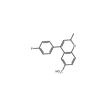 CC1C=C(c2ccc(F)cc2)c2cc(C(=O)O)ccc2O1